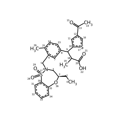 CC[C@@H]1CN(Cc2cc(C(c3cc(C(C)=O)cs3)C(C)C(=O)O)ccc2C)S(=O)(=O)c2ccccc2O1